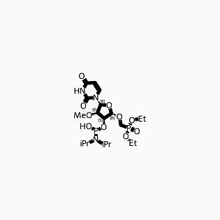 CCOP(=O)(CO[C@H]1O[C@@H](n2ccc(=O)[nH]c2=O)[C@H](OC)[C@@H]1OP(O)N(C(C)C)C(C)C)OCC